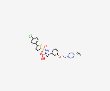 CN1CCN(CCOc2cccc(C3CC3(NS(=O)(=O)c3ccc(-c4ccc(Cl)cc4)s3)C(=O)O)c2)CC1